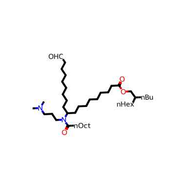 CCCCCCCCC(=O)N(CCCN(C)C)C(CCCCCCCCC=O)CCCCCCCCC(=O)OCC(CCCC)CCCCCC